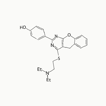 CCN(CC)CCSc1nc(-c2ccc(O)cc2)nc2c1Cc1ccccc1O2